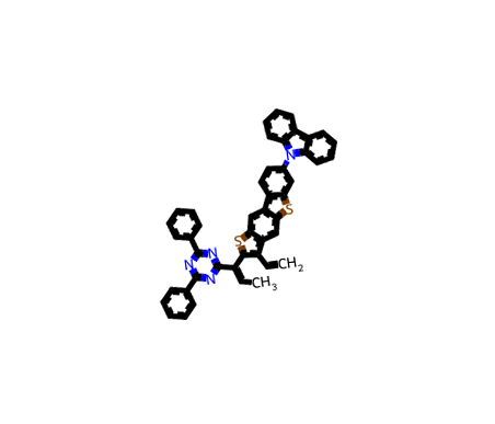 C=Cc1c(/C(=C\C)c2nc(-c3ccccc3)nc(-c3ccccc3)n2)sc2cc3c(cc12)sc1cc(-n2c4ccccc4c4ccccc42)ccc13